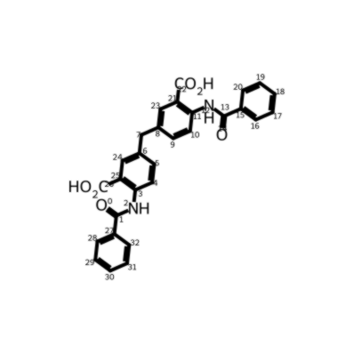 O=C(Nc1ccc(Cc2ccc(NC(=O)c3ccccc3)c(C(=O)O)c2)cc1C(=O)O)c1ccccc1